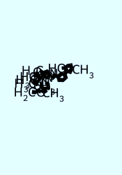 C=CCOC1(C)CCN(c2c(C(OC(C)(C)C)C(=O)O)c(C)cc3nc(-c4cccc(-c5cc(C)ccc5O)c4)cn23)CC1